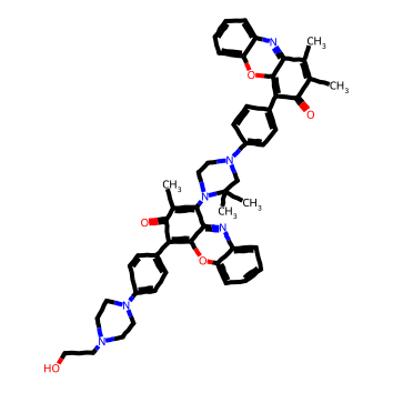 Cc1c2nc3ccccc3oc-2c(-c2ccc(N3CCN(c4c5nc6ccccc6oc-5c(-c5ccc(N6CCN(CCO)CC6)cc5)c(=O)c4C)C(C)(C)C3)cc2)c(=O)c1C